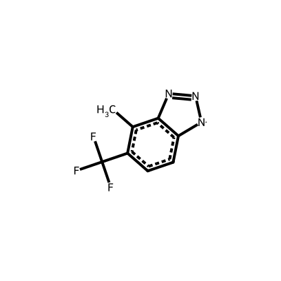 Cc1c(C(F)(F)F)ccc2c1N=N[N]2